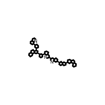 c1cc(-c2cc(-c3cccc(-c4cccc5cccnc45)c3)c3ccc4ccccc4c3c2)cc(-c2cccc3cc(-c4cnc5cc(-c6ccc7ccc(-c8ccc9ccc%10ccccc%10c9c8)cc7c6)ccc5c4)cnc23)c1